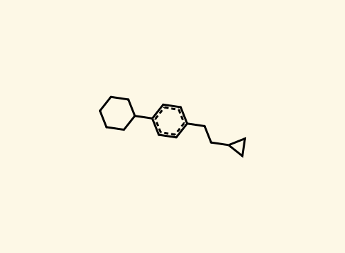 c1cc(C2CCCCC2)ccc1CCC1CC1